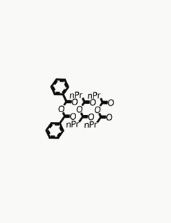 CCCC(=O)OC(=O)CCC.CCCC(=O)OC(=O)CCC.O=C(OC(=O)c1ccccc1)c1ccccc1